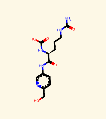 NC(=O)NCCC[C@H](NC(=O)O)C(=O)Nc1ccc(CO)nc1